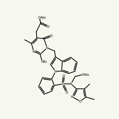 CCCCc1nc(C)c(CC(=O)OC)c(=O)n1Cc1cn(-c2ccccc2S(=O)(=O)N(COC)c2noc(C)c2C)c2ccccc12